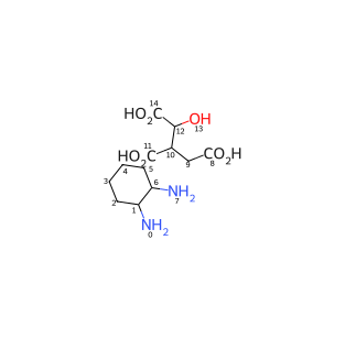 NC1CCCCC1N.O=C(O)CC(C(=O)O)C(O)C(=O)O